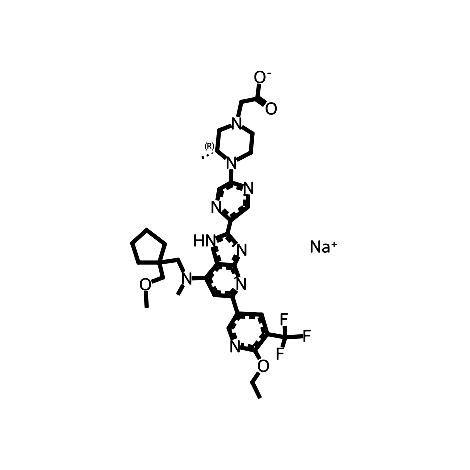 CCOc1ncc(-c2cc(N(C)CC3(COC)CCCC3)c3[nH]c(-c4cnc(N5CCN(CC(=O)[O-])C[C@H]5C)cn4)nc3n2)cc1C(F)(F)F.[Na+]